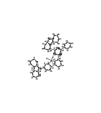 CC1(C)c2cc(-n3c4ccccc4c4cccnc43)ccc2-c2cccc(-c3nc(-c4ccccc4)nc(-c4cccc5sc6ccccc6c45)n3)c21